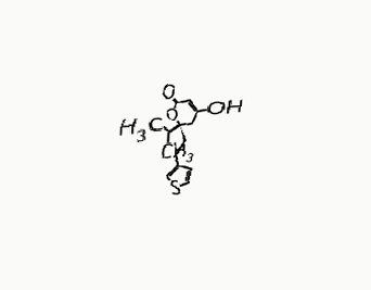 CC(C)[C@@]1(CCc2ccsc2)CC(O)=CC(=O)O1